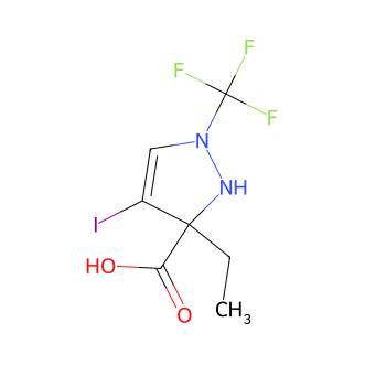 CCC1(C(=O)O)NN(C(F)(F)F)C=C1I